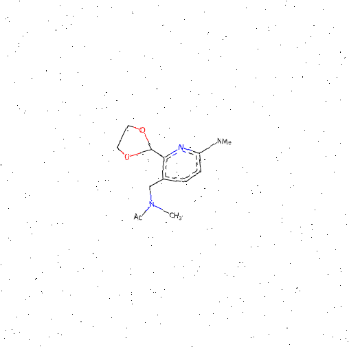 CNc1ccc(CN(C)C(C)=O)c(C2OCCO2)n1